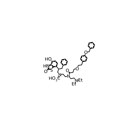 CCN(CC)CCN(CCN(CC(Cc1ccccc1)c1ccc(O)c2[nH]c(=O)sc12)C(=O)O)C(=O)CCOCCc1ccc(OCc2ccccc2)cc1